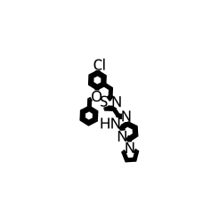 Clc1ccc(OCc2ccccc2)c(Cc2nc(-c3nc4ccc(N5CCCC5)nc4[nH]3)cs2)c1